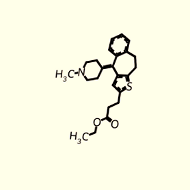 CCOC(=O)CCc1cc2c(s1)CCc1ccccc1C2=C1CCN(C)CC1